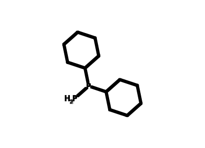 PP(C1CCCCC1)C1CCCCC1